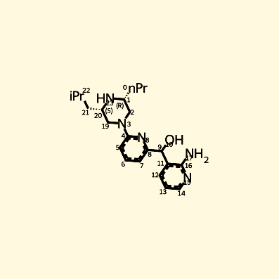 CCC[C@@H]1CN(c2cccc(C(O)c3cccnc3N)n2)C[C@H](CC(C)C)N1